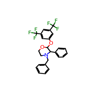 FC(F)(F)c1cc(OC2OCCN(Cc3ccccc3)C2c2ccccc2)cc(C(F)(F)F)c1